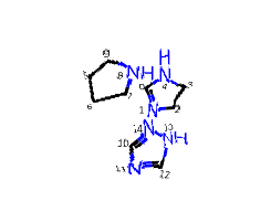 C1=NCCN1.C1CCNC1.c1nc[nH]n1